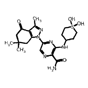 Cc1nn(-c2cnc(C(N)=O)c(NC3CCS(O)(O)CC3)n2)c2c1C(=O)CC(C)(C)C2